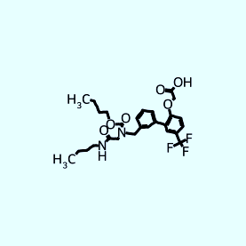 CCCCNC(=O)CN(Cc1cccc(-c2cc(C(F)(F)F)ccc2OCC(=O)O)c1)C(=O)OCCCC